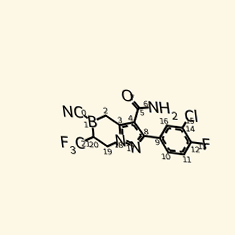 N#CB1Cc2c(C(N)=O)c(-c3ccc(F)c(Cl)c3)nn2CC1C(F)(F)F